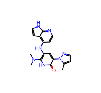 Cc1ccnn1-c1cc(Nc2ccnc3[nH]ccc23)c(N(C)C)[nH]c1=O